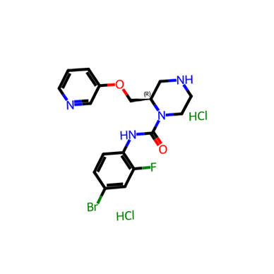 Cl.Cl.O=C(Nc1ccc(Br)cc1F)N1CCNC[C@@H]1COc1cccnc1